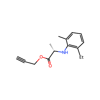 C#CCOC(=O)[C@H](C)Nc1c(C)cccc1CC